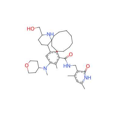 Cc1cc(C)c(CNC(=O)c2cc(C3CCC(CO)NC34CCCCCCCCC4)cc(N(C)C3CCOCC3)c2C)c(=O)[nH]1